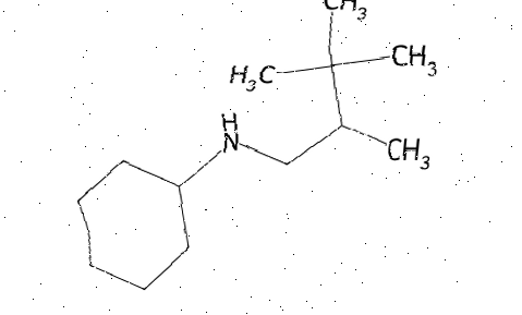 CC(CNC1CCCCC1)C(C)(C)C